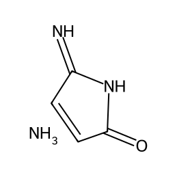 N.N=C1C=CC(=O)N1